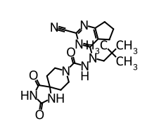 CC(C)(C)CN(NC(=O)N1CCC2(CC1)NC(=O)NC2=O)c1nc(C#N)nc2c1CCC2